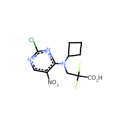 O=C(O)C(F)(F)CN(c1nc(Cl)ncc1[N+](=O)[O-])C1CCC1